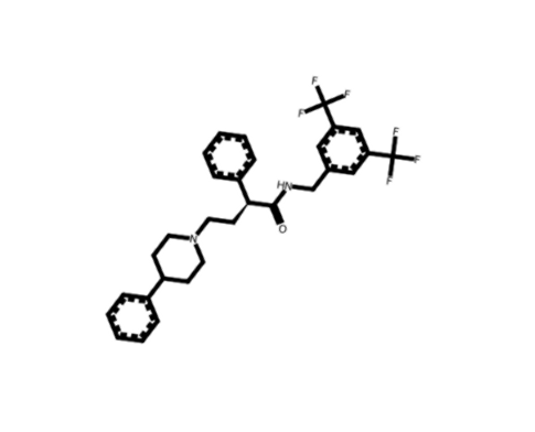 O=C(NCc1cc(C(F)(F)F)cc(C(F)(F)F)c1)[C@@H](CCN1CCC(c2ccccc2)CC1)c1ccccc1